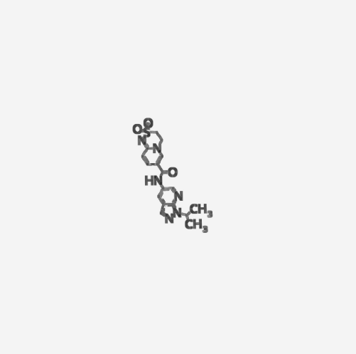 CC(C)n1ncc2cc(NC(=O)C3=CN4CCS(=O)(=O)N=C4C=C3)cnc21